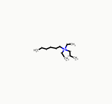 CCCCCC[N+](CC)(CC)CCC